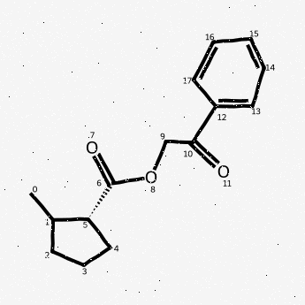 CC1CCC[C@H]1C(=O)OCC(=O)c1ccccc1